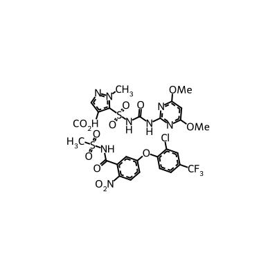 COc1cc(OC)nc(NC(=O)NS(=O)(=O)c2c(C(=O)O)cnn2C)n1.CS(=O)(=O)NC(=O)c1cc(Oc2ccc(C(F)(F)F)cc2Cl)ccc1[N+](=O)[O-]